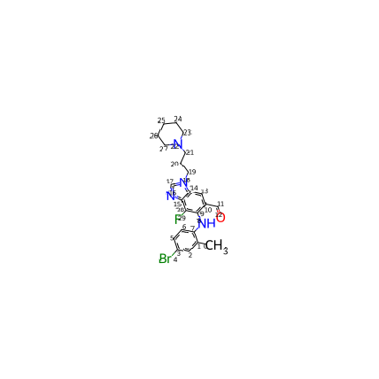 Cc1cc(Br)ccc1Nc1c(C=O)cc2c(ncn2CCCN2CCCCC2)c1F